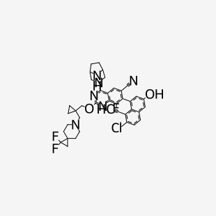 C#Cc1c(Cl)ccc2cc(O)cc(-c3c(C#N)cc4c(N5CC6CCC(C5)N6)nc(OCC5(CN6CCC7(CC6)CC7(F)F)CC5)nc4c3F)c12